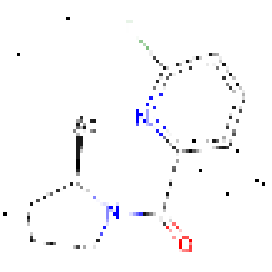 CC(=O)[C@@H]1CCCN1C(=O)c1cccc(F)n1